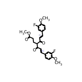 COC(=O)CCC(C(=O)/C=C/c1ccc(OC)c(F)c1)C(=O)/C=C/c1ccc(OC)c(F)c1